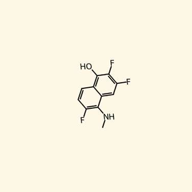 CNc1c(F)ccc2c(O)c(F)c(F)cc12